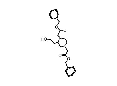 O=C(CN1CCN(CC(=O)OCc2ccccc2)C(CCO)C1)OCc1ccccc1